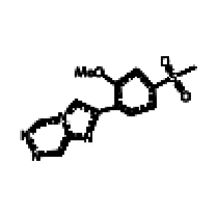 COc1cc(S(C)(=O)=O)ccc1-c1cn2cnncc2n1